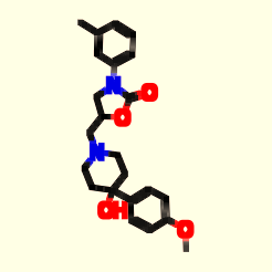 COc1ccc(C2(O)CCN(CC3CN(c4cccc(C)c4)C(=O)O3)CC2)cc1